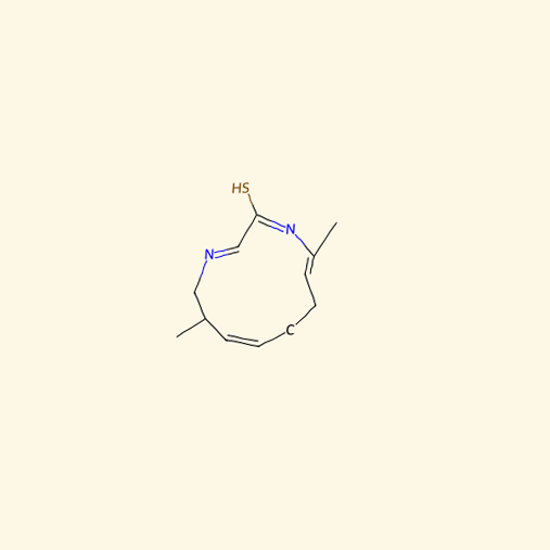 CC1=C\CC/C=C\C(C)C/N=C/C(S)=N\1